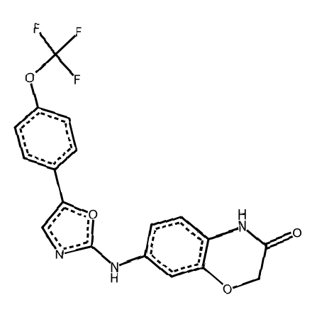 O=C1COc2cc(Nc3ncc(-c4ccc(OC(F)(F)F)cc4)o3)ccc2N1